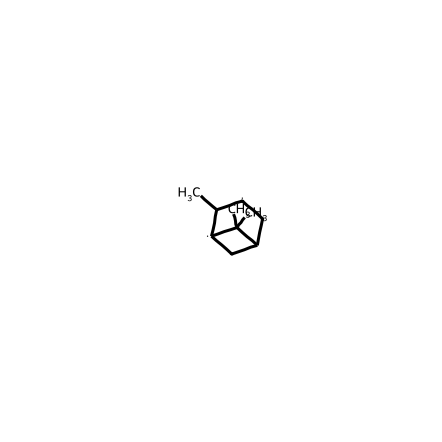 CC1[CH]CC2C[C]1C2(C)C